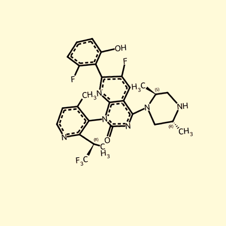 Cc1ccnc([C@@H](C)C(F)(F)F)c1-n1c(=O)nc(N2C[C@@H](C)NC[C@@H]2C)c2cc(F)c(-c3c(O)cccc3F)nc21